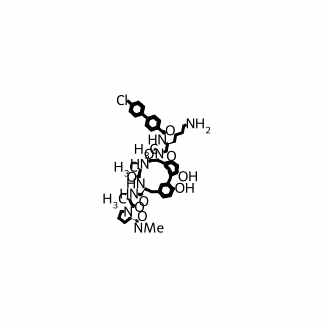 CNC(=O)[C@@H]1CCCN1C(=O)[C@H](C)NC(=O)[C@@H]1Cc2ccc(O)c(c2)-c2cc(ccc2O)[C@H](N(C)C(=O)[C@H](CCCCN)NC(=O)c2ccc(-c3ccc(Cl)cc3)cc2)C(=O)N[C@@H](C)C(=O)N1